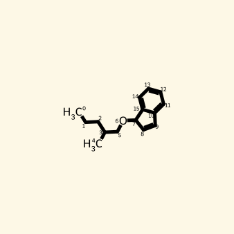 CCCC(C)COC1C=Cc2ccccc21